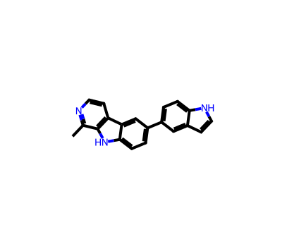 Cc1nccc2c1[nH]c1ccc(-c3ccc4[nH]ccc4c3)cc12